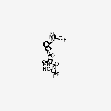 CC(C)OCc1cnnn1Cc1cccc2c1CN(C(=O)C[C@@H]1C[C@@H](C(=O)N3CC(F)(F)C[C@H]3C#N)NC1=O)C2